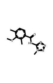 CSc1c(I)ccc(C(=O)Nc2nnnn2C)c1C